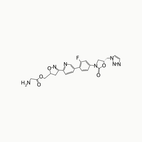 NCC(=O)OCC1CC(c2ccc(-c3ccc(N4C[C@H](Cn5ccnn5)OC4=O)cc3F)cn2)=NO1